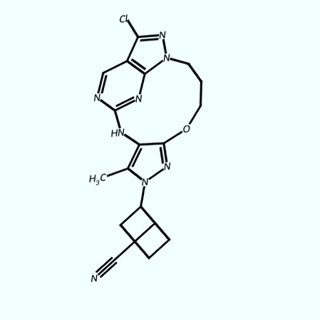 Cc1c2c(nn1C1CC3(C#N)CCC13)OCCCn1nc(Cl)c3cnc(nc31)N2